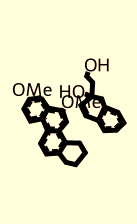 COc1cccc2c1c(OC)cc1c3c(ccc12)CCCC3.OCCC1(O)C=Cc2ccccc2C1